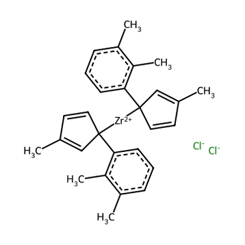 CC1=C[C]([Zr+2][C]2(c3cccc(C)c3C)C=CC(C)=C2)(c2cccc(C)c2C)C=C1.[Cl-].[Cl-]